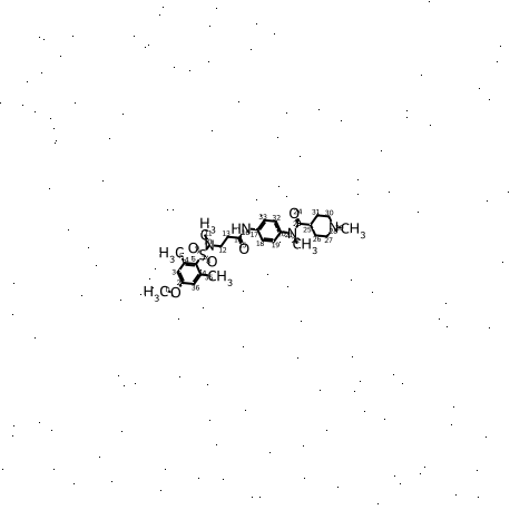 COc1cc(C)c(S(=O)(=O)N(C)CCC(=O)Nc2ccc(N(C)C(=O)C3CCN(C)CC3)cc2)c(C)c1